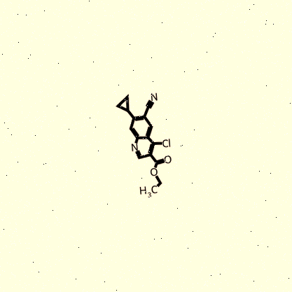 CCOC(=O)c1cnc2cc(C3CC3)c(C#N)cc2c1Cl